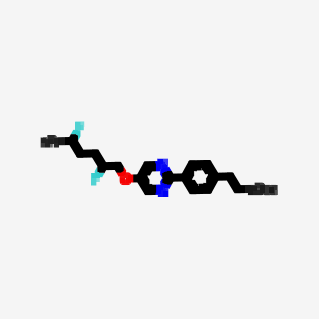 CCCCCCCCCCCCc1ccc(-c2ncc(OCC(F)CCC(F)CCC)cn2)cc1